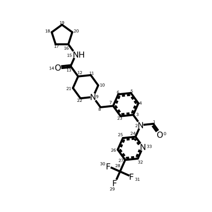 O=CN(c1cccc(CN2CCC(C(=O)NC3CCCC3)CC2)c1)c1ccc(C(F)(F)F)cn1